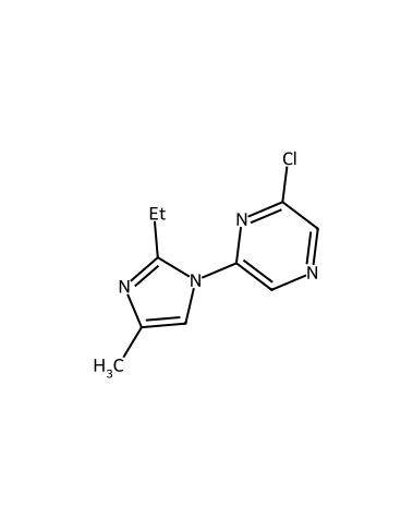 CCc1nc(C)cn1-c1cncc(Cl)n1